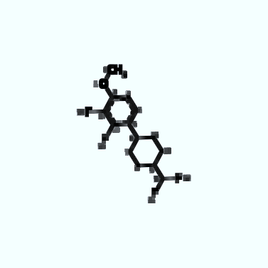 COc1ccc(C2CCC(C(F)F)CC2)c(F)c1F